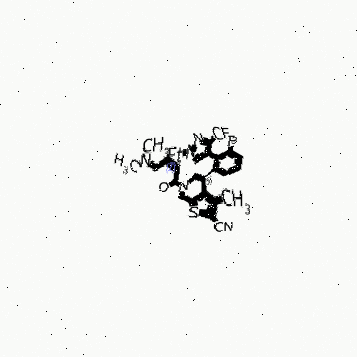 CCn1cc(-c2c(F)cccc2[C@@H]2CN(C(=O)/C=C\CN(C)C)Cc3sc(C#N)c(C)c32)c(C(F)(F)F)n1